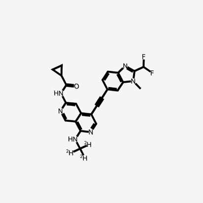 [2H]C([2H])([2H])Nc1ncc(C#Cc2ccc3nc(C(F)F)n(C)c3c2)c2cc(NC(=O)C3CC3)ncc12